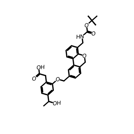 CC(O)c1ccc(CC(=O)O)c(OCc2ccc3c(c2)-c2cccc(CNC(=O)OC(C)(C)C)c2OC3)c1